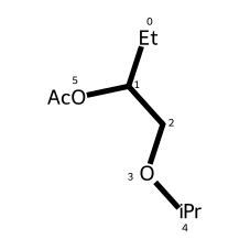 CCC(COC(C)C)OC(C)=O